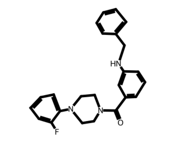 O=C(c1cccc(NCc2ccccc2)c1)N1CCN(c2ccccc2F)CC1